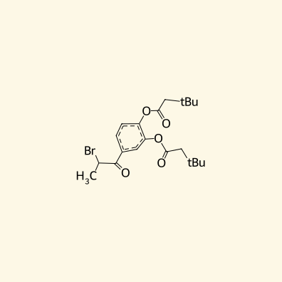 CC(Br)C(=O)c1ccc(OC(=O)CC(C)(C)C)c(OC(=O)CC(C)(C)C)c1